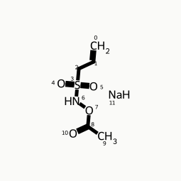 C=CCS(=O)(=O)NOC(C)=O.[NaH]